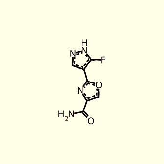 NC(=O)c1coc(-c2cn[nH]c2F)n1